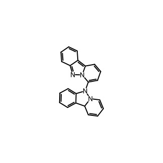 C1=CC2c3ccccc3N(c3cccc4c5ccccc5nn34)N2C=C1